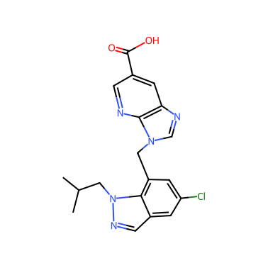 CC(C)Cn1ncc2cc(Cl)cc(Cn3cnc4cc(C(=O)O)cnc43)c21